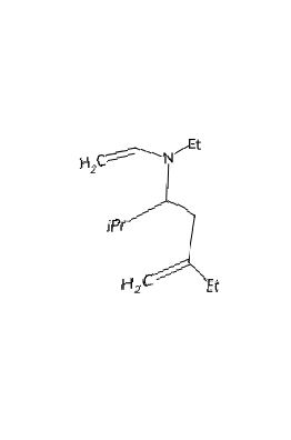 C=CN(CC)C(CC(=C)CC)C(C)C